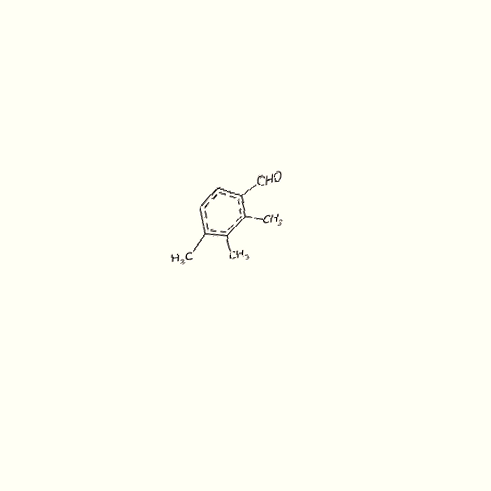 Cc1ccc(C=O)c(C)c1C